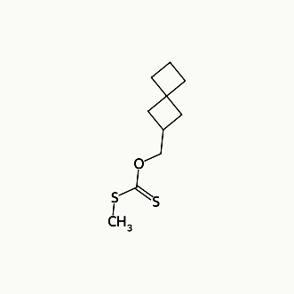 CSC(=S)OCC1CC2(CCC2)C1